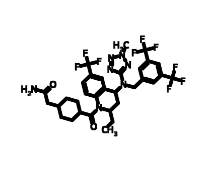 CCC1CC(N(Cc2cc(C(F)(F)F)cc(C(F)(F)F)c2)c2nnn(C)n2)c2cc(C(F)(F)F)ccc2N1C(=O)C1CCC(CC(N)=O)CC1